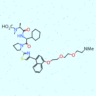 CNCCOCCOCCOc1ccc(-c2csc([C@@H]3CCCN3C(=O)[C@@H](NC(=O)[C@H](C)N(C)C(=O)O)C3CCCCC3)n2)c2ccccc12